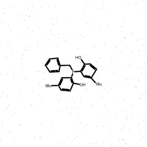 CC(C)(C)c1ccc(O)c(P(Cc2ccccc2)c2cc(C(C)(C)C)ccc2O)c1